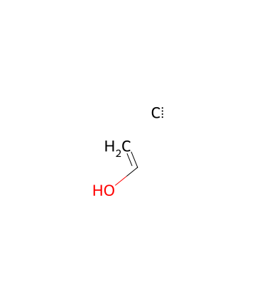 C=CO.[C]